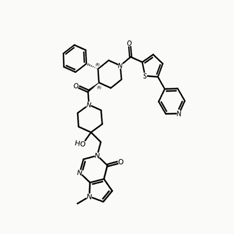 Cn1ccc2c(=O)n(CC3(O)CCN(C(=O)[C@@H]4CCN(C(=O)c5ccc(-c6ccncc6)s5)C[C@H]4c4ccccc4)CC3)cnc21